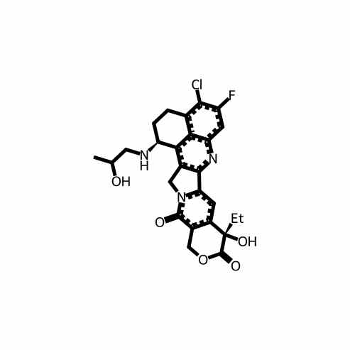 CC[C@@]1(O)C(=O)OCc2c1cc1n(c2=O)Cc2c-1nc1cc(F)c(Cl)c3c1c2[C@@H](NCC(C)O)CC3